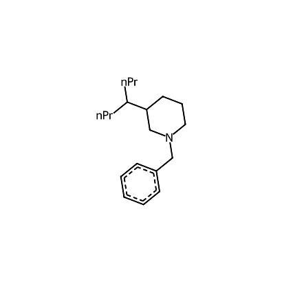 CCCC(CCC)C1CCCN(Cc2ccccc2)C1